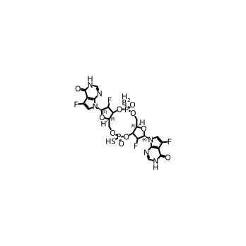 BP1(=O)OC[C@H]2O[C@@H](n3cc(F)c4c(=O)[nH]cnc43)C(F)C2OP(=O)(S)OC[C@H]2O[C@@H](n3cc(F)c4c(=O)[nH]cnc43)C(F)C2O1